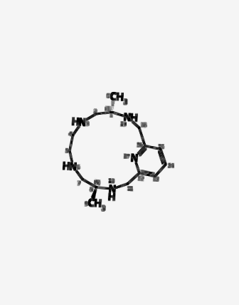 C[C@H]1CNCCNC[C@H](C)NCc2cccc(n2)CN1